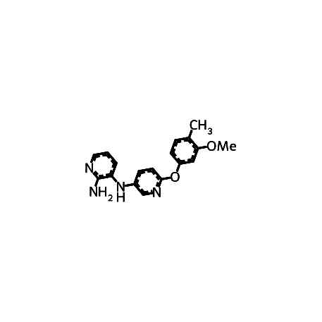 COc1cc(Oc2ccc(Nc3cccnc3N)cn2)ccc1C